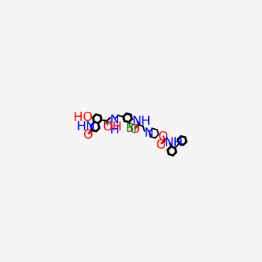 O=C(CCN1CCC(OC(=O)Nc2ccccc2-c2ccccc2)CC1)Nc1ccc(CNC[C@@H](O)c2ccc(O)c3[nH]c(=O)ccc23)cc1Br